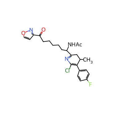 CC(=O)NC(CCCCCC(=O)c1ccon1)C1=NC(Cl)=C(c2ccc(F)cc2)C(C)C1